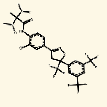 C[S+]([O-])C(C)(C(=O)Nc1ccc(C2=NOC(c3cc(C(F)(F)F)cc(C(F)(F)F)c3)(C(F)(F)F)C2)cc1Cl)[S+](C)[O-]